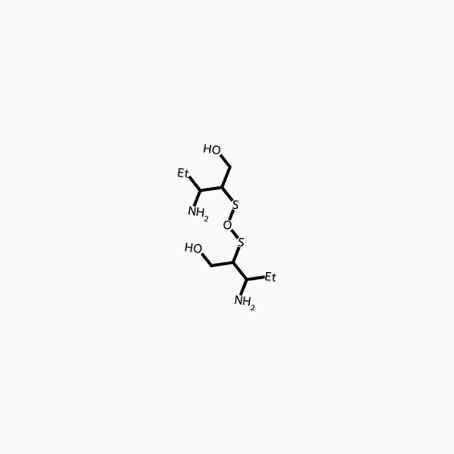 CCC(N)C(CO)SOSC(CO)C(N)CC